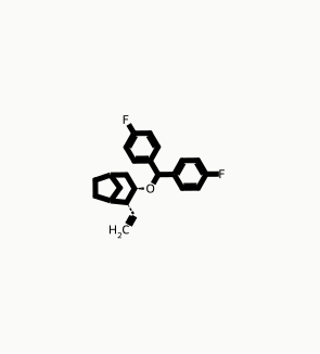 C=C[C@@H]1C2CCC(C2)C[C@@H]1OC(c1ccc(F)cc1)c1ccc(F)cc1